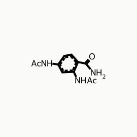 CC(=O)Nc1ccc(C(N)=O)c(NC(C)=O)c1